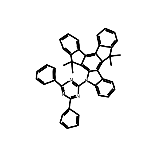 CC1(C)c2ccccc2-c2c3c(c4c(c21)c1ccccc1n4-c1nc(-c2ccccc2)nc(-c2ccccc2)n1)C(C)(C)c1ccccc1-3